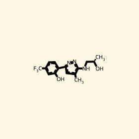 Cc1cc(-c2ccc(C(F)(F)F)cc2O)nnc1NC[C@@H](C)O